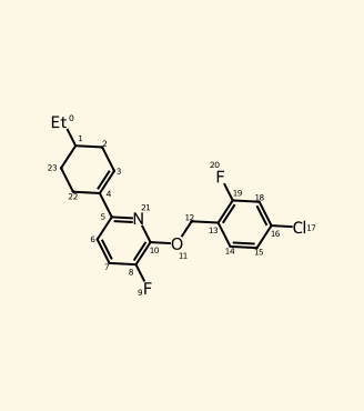 CCC1CC=C(c2ccc(F)c(OCc3ccc(Cl)cc3F)n2)CC1